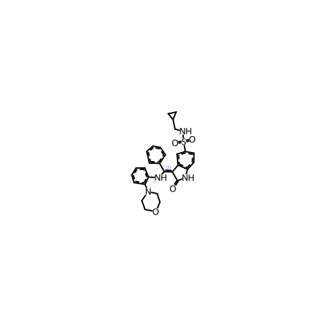 O=C1Nc2ccc(S(=O)(=O)NCC3CC3)cc2/C1=C(/Nc1ccccc1N1CCOCC1)c1ccccc1